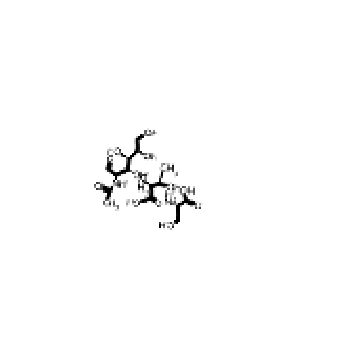 CC(=O)N[C@@H](C=O)[C@@H](O)[C@@H](O)[C@H](O)CO.C[C@@H](O)[C@H](N)C(=O)O.N[C@@H](CO)C(=O)O